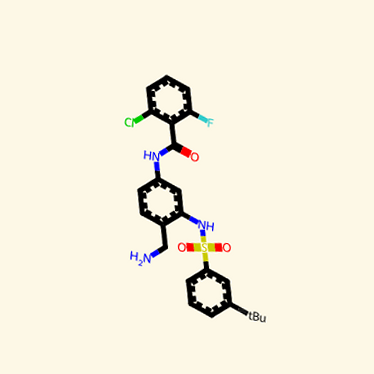 CC(C)(C)c1cccc(S(=O)(=O)Nc2cc(NC(=O)c3c(F)cccc3Cl)ccc2CN)c1